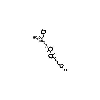 Cc1c(OCCCNC(Cc2ccncc2)C(=O)O)cccc1-c1cccc(OCCCN2CC[C@@H](O)C2)c1C